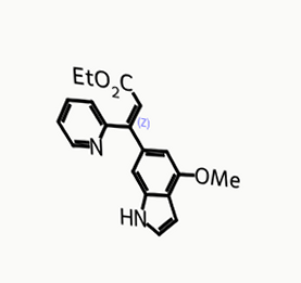 CCOC(=O)/C=C(/c1cc(OC)c2cc[nH]c2c1)c1ccccn1